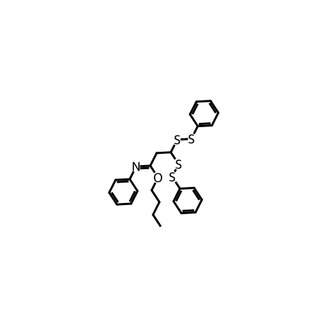 CCCCO/C(CC(SSc1ccccc1)SSc1ccccc1)=N\c1ccccc1